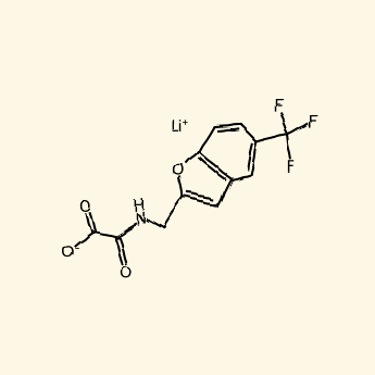 O=C([O-])C(=O)NCc1cc2cc(C(F)(F)F)ccc2o1.[Li+]